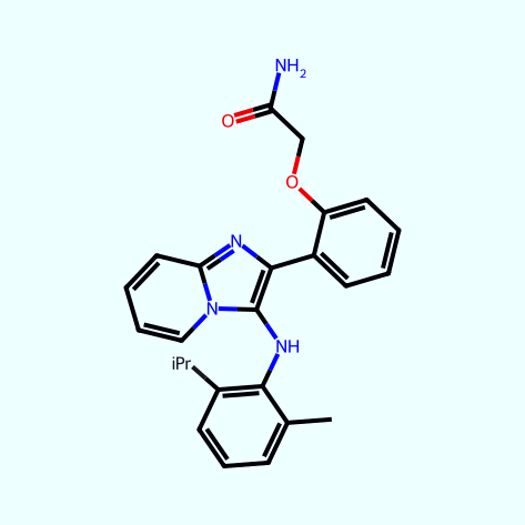 Cc1cccc(C(C)C)c1Nc1c(-c2ccccc2OCC(N)=O)nc2ccccn12